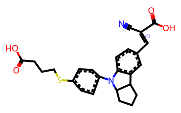 N#C/C(=C\c1ccc2c(c1)C1CCCC1N2c1ccc(SCCCC(=O)O)cc1)C(=O)O